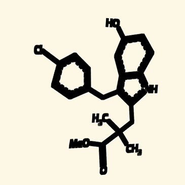 COC(=O)C(C)(C)Cc1[nH]c2ccc(O)cc2c1Cc1ccc(Cl)cc1